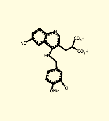 COc1ccc(CNc2c(CC(C(=O)O)C(=O)O)cnc3ccc(C#N)cc23)cc1Cl